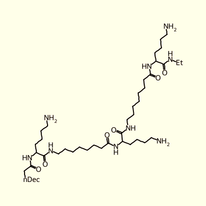 CCCCCCCCCCCC(=O)NC(CCCCN)C(=O)NCCCCCCCC(=O)NC(CCCCN)C(=O)NCCCCCCCC(=O)NC(CCCCN)C(=O)NCC